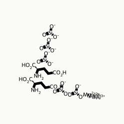 N[C@@H](CCC(=O)O)C(=O)O.N[C@@H](CCC(=O)O)C(=O)O.O=[Si]([O-])[O-].O=[Si]([O-])[O-].O=[Si]([O-])[O-].O=[Si]([O-])[O-].O=[Si]([O-])[O-].[Al+3].[Al+3].[Mg+2].[Mg+2]